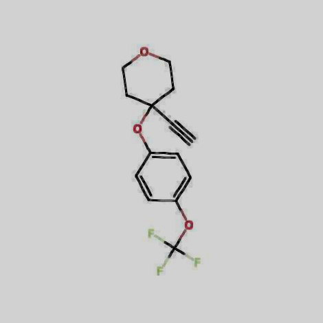 C#CC1(Oc2ccc(OC(F)(F)F)cc2)CCOCC1